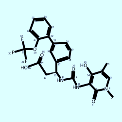 Cc1cn(C)c(=O)c(NC(=O)N[C@@H](CC(=O)O)c2cccc(-c3ccccc3OC(F)(F)F)c2)c1O